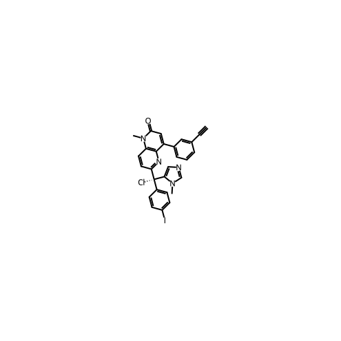 C#Cc1cccc(-c2cc(=O)n(C)c3ccc([C@](Cl)(c4ccc(I)cc4)c4cncn4C)nc23)c1